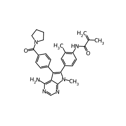 C=C(C)C(=O)Nc1ccc(-c2c(-c3ccc(C(=O)N4CCCC4)cc3)c3c(N)ncnc3n2C)cc1C